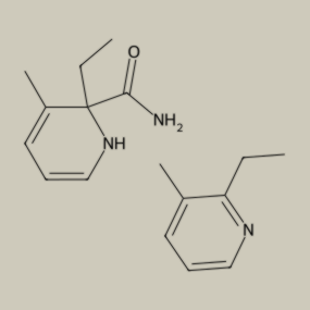 CCC1(C(N)=O)NC=CC=C1C.CCc1ncccc1C